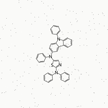 c1ccc(N(c2ccc3c(c2)c2ccccc2n3-c2ccccc2)c2cnc(N(c3ccccc3)c3ccccc3)s2)cc1